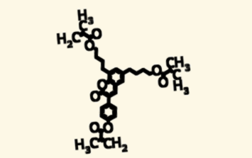 C=C(C)C(=O)OCCCCc1cc(CCCCOC(=O)C(C)C)cc2cc(-c3ccc(OC(=O)C(=C)C)cc3)c(=O)oc12